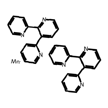 [Mn].c1ccc(-c2cccnc2-c2ccccn2)nc1.c1ccc(-c2cccnc2-c2ccccn2)nc1